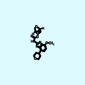 COc1ccc(C2CCOCC2)c2sc(NC(=O)ON3C[C@@H]4C[C@H]3CO4)nc12